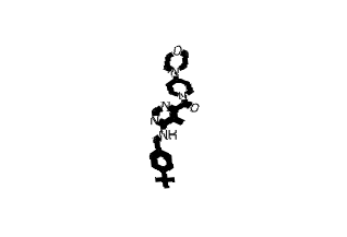 Cc1c(NCc2ccc(C(C)(C)C)cc2)ncnc1C(=O)N1CCC(N2CCOCC2)CC1